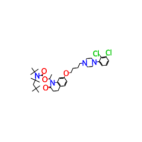 CC(OC(=O)N(C(C)(C)C)C(C)(C)CC(C)(C)C)N1C(=O)CCc2ccc(OCCCCN3CCN(c4cccc(Cl)c4Cl)CC3)cc21